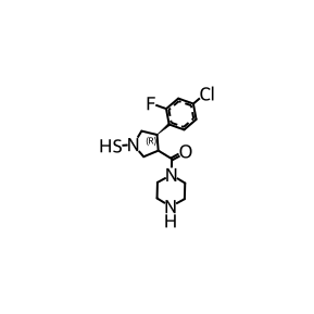 O=C(C1CN(S)C[C@H]1c1ccc(Cl)cc1F)N1CCNCC1